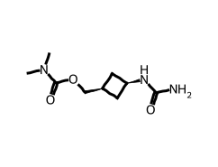 CN(C)C(=O)OC[C@H]1C[C@@H](NC(N)=O)C1